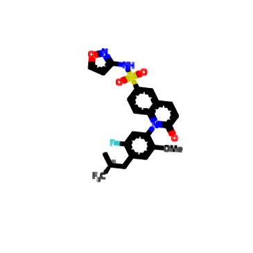 COc1cc(C[C@H](C)C(F)(F)F)c(F)cc1-n1c(=O)ccc2cc(S(=O)(=O)Nc3ccon3)ccc21